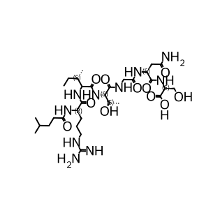 CC[C@H](C)C(NC(=O)[C@@H](CCCNC(=N)N)NC(=O)CCC(C)C)C(=O)N[C@H](C(=O)NCC(=O)N[C@@H](CC(N)=O)C(=O)N[C@@H](CO)C(=O)O)[C@H](C)O